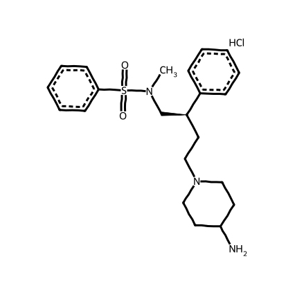 CN(C[C@H](CCN1CCC(N)CC1)c1ccccc1)S(=O)(=O)c1ccccc1.Cl